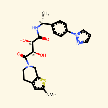 CNc1cc2c(s1)CN(C(=O)[C@H](O)[C@@H](O)C(=O)N[C@H](C)c1ccc(-n3cccn3)cc1)CC2